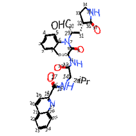 Cc1ccccc1N(C(=O)CNC(=O)[C@@H](NC(=O)c1ccc2ccccc2n1)C(C)C)[C@H](C=O)C[C@@H]1CCNC1=O